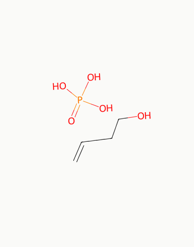 C=CCCO.O=P(O)(O)O